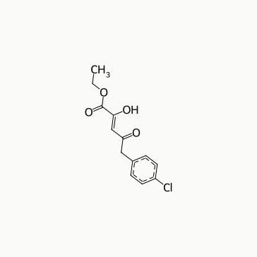 CCOC(=O)/C(O)=C/C(=O)Cc1ccc(Cl)cc1